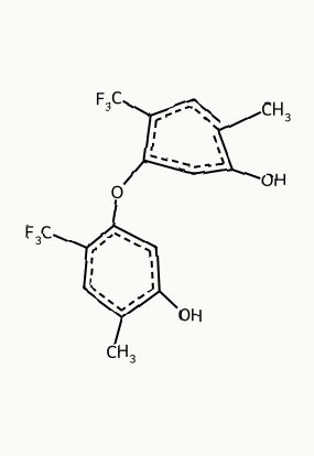 Cc1cc(C(F)(F)F)c(Oc2cc(O)c(C)cc2C(F)(F)F)cc1O